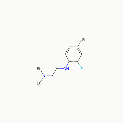 CCN(CC)CCNc1ccc(C(C)C)cc1F